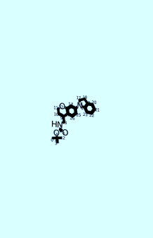 CC(C)(C)OC(=O)NCC1=CCOc2cc(N3CCc4ccccc43)ccc21